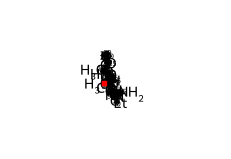 CCOc1nc(N)nc2c1ncn2[C@@H]1O[C@@H]2COP(=O)(NC(C)COC(=O)C3CCCC3)O[C@H]2[C@@]1(C)Cl